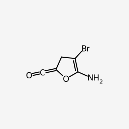 NC1=C(Br)CC(=C=O)O1